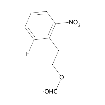 O=[C]OCCc1c(F)cccc1[N+](=O)[O-]